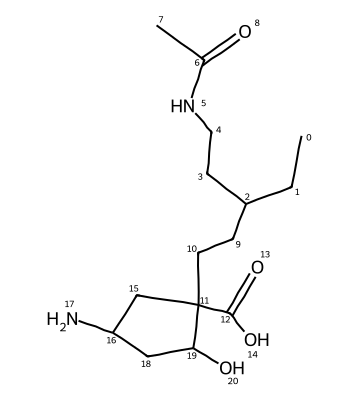 CCC(CCNC(C)=O)CCC1(C(=O)O)CC(N)CC1O